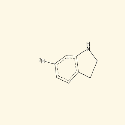 [2H]c1ccc2c(c1)NCC2